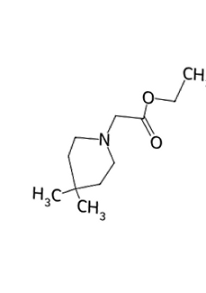 CCOC(=O)CN1CCC(C)(C)CC1